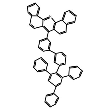 c1ccc(-c2cc(-c3ccccc3)c(-c3cccc(-c4cccc(-c5c6ccc7ccccc7c6nc6c5ccc5ccccc56)c4)c3)c(-c3ccccc3)c2)cc1